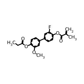 C=C(C)C(=O)Oc1ccc(-c2ccc(OC(=O)CC)c(OC)c2)cc1F